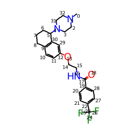 CN1CCN(C2CCCc3ccc(OCCNC(=O)c4ccc(C(F)(F)F)cc4)cc32)CC1